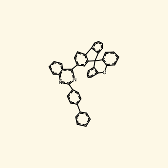 c1ccc(-c2ccc(-c3nc(-c4ccc5c(c4)C4(c6ccccc6Oc6ccccc64)c4ccccc4-5)c4ccccc4n3)cc2)cc1